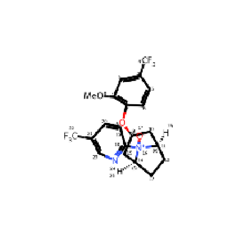 COc1cc(C(F)(F)F)ccc1O[C@H]1C[C@H]2CC[C@@H](C1)[N+]2([O-])c1ccc(C(F)(F)F)cn1